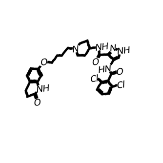 O=C1CCc2ccc(OCCCCN3CCC(NC(=O)c4n[nH]cc4NC(=O)c4c(Cl)cccc4Cl)CC3)cc2N1